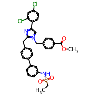 CCS(=O)(=O)Nc1cccc(-c2ccc(Cc3nc(-c4ccc(Cl)cc4Cl)cn3Cc3ccc(C(=O)OC)cc3)cc2)c1